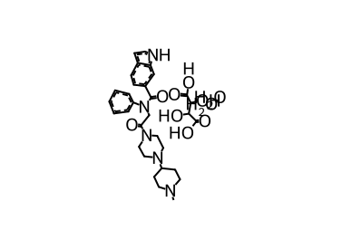 CN1CCC(N2CCN(C(=O)CN(C(=O)c3ccc4cc[nH]c4c3)c3ccccc3)CC2)CC1.O.O.O=C(O)C(O)C(O)C(=O)O